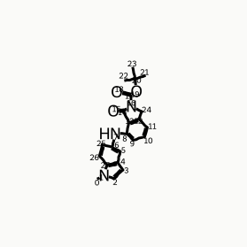 Cn1ccc2cc(Nc3cccc4c3C(=O)N(C(=O)OC(C)(C)C)C4)ccc21